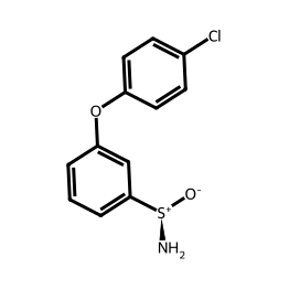 N[S@+]([O-])c1cccc(Oc2ccc(Cl)cc2)c1